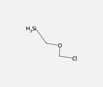 [SiH3]COCCl